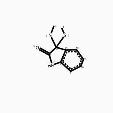 CSC1(SC)C(=O)Nc2ccccc21